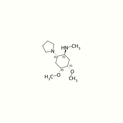 CN[C@H]1C[C@H](OC)[C@H](OC)C[C@@H]1N1CCCC1